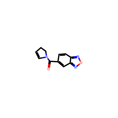 O=C(c1ccc2nonc2c1)N1C=CCC1